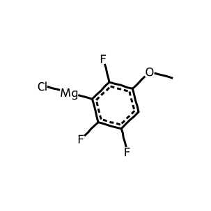 COc1cc(F)c(F)[c]([Mg][Cl])c1F